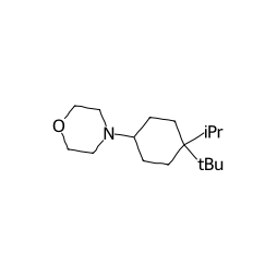 CC(C)C1(C(C)(C)C)CCC(N2CCOCC2)CC1